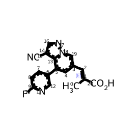 C/C(=C\c1cc(-c2ccc(F)nc2)c2c(C#N)cnn2c1)C(=O)O